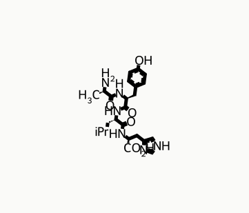 CC(C)C[C@H](NC(=O)[C@H](Cc1ccc(O)cc1)NC(=O)[C@H](C)N)C(=O)N[C@@H](Cc1c[nH]cn1)C(=O)O